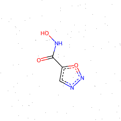 O=C(NO)c1cnno1